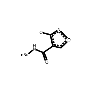 CCCCNC(=O)c1conc1[O]